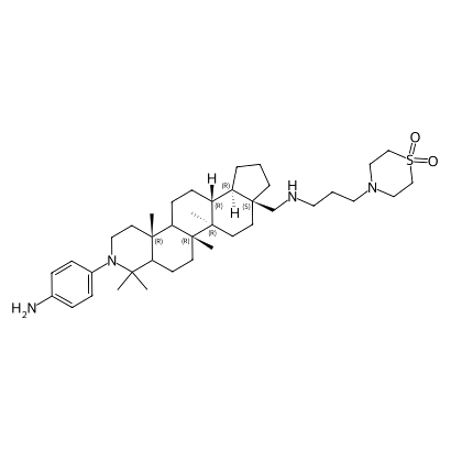 CC1(C)C2CC[C@]3(C)C(CC[C@@H]4[C@H]5CCC[C@]5(CNCCCN5CCS(=O)(=O)CC5)CC[C@]43C)[C@@]2(C)CCN1c1ccc(N)cc1